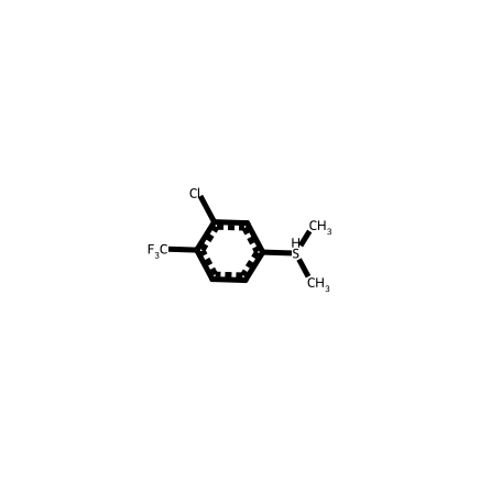 C[SH](C)c1ccc(C(F)(F)F)c(Cl)c1